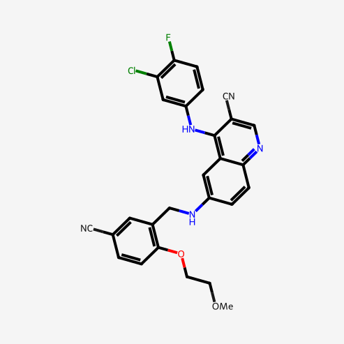 COCCOc1ccc(C#N)cc1CNc1ccc2ncc(C#N)c(Nc3ccc(F)c(Cl)c3)c2c1